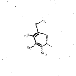 CCSc1cc(C)c(N)c(CC)c1N